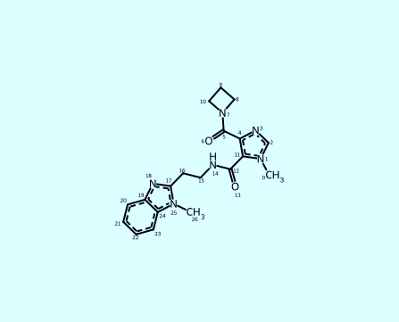 Cn1cnc(C(=O)N2CCC2)c1C(=O)NCCc1nc2ccccc2n1C